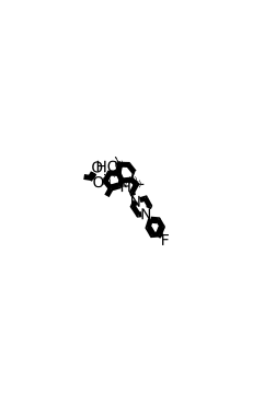 CC(=O)O[C@@H]1[C][C@@]2(O)[C@H](C)CC[C@@H]([C@H](C)CN3CCN(c4ccc(F)cc4)CC3)[C@H]2C=C1C